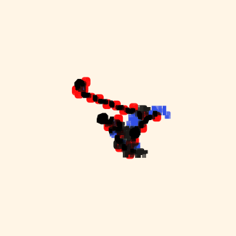 CCC(C)[C@@H]([C@@H](CC(=O)N1CCC[C@H]1[C@H](OC)[C@@H](C)C(=O)N[C@H](C)[C@@H](O)c1ccccc1)OC)N(C)C(=O)[C@@H](NC(=O)[C@H](C(C)C)N(C)C(=O)OCc1ccc(NC(=O)[C@H](CCCNC(N)=O)NC(=O)[C@@H](NC(=O)CCOCCOCCOCCOCCOCCC(=O)ON2C(=O)CCC2=O)C(C)C)cc1)C(C)C